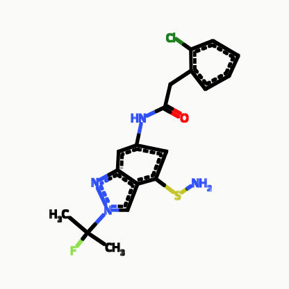 CC(C)(F)n1cc2c(SN)cc(NC(=O)Cc3ccccc3Cl)cc2n1